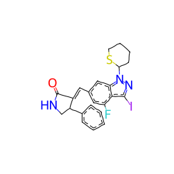 O=C1NCC(c2ccccc2)/C1=C\c1cc(F)c2c(I)nn(C3CCCCS3)c2c1